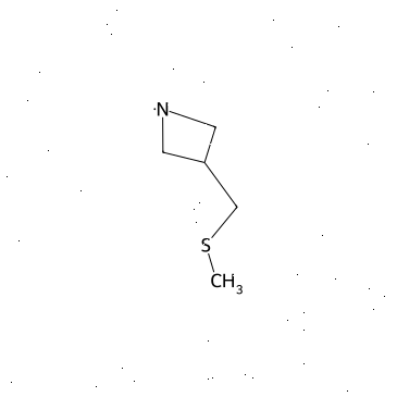 CSCC1C[N]C1